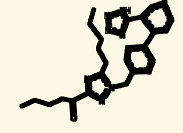 CCCCCc1nc(C(=O)CCCC)nn1Cc1ccc(-c2ccncc2-c2nnn[nH]2)cc1